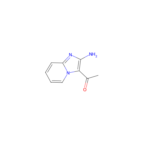 CC(=O)c1c(N)nc2ccccn12